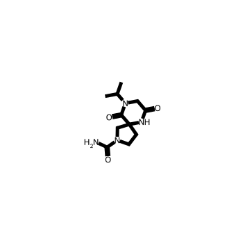 CC(C)N1CC(=O)NC2(CCN(C(N)=O)C2)C1=O